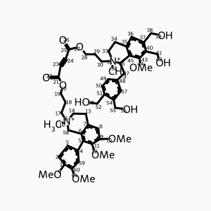 COc1ccc(-c2c3c(cc(OC)c2OC)CC[N+](C)(CCCOC(=O)C#CC(=O)OCCC[N+]2(C)CCc4cc(CO)c(CO)c(OC)c4C2Cc2ccc(CO)c(CO)c2)C3)cc1OC